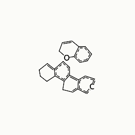 C1=Cc2ccccc2OC1.C1=c2ccc3c(c2CCC1)CC=c1ccccc1=3